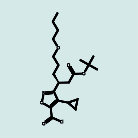 CCCCOCCC[C@@H](CC(=O)OC(C)(C)C)c1noc(C(=O)Cl)c1C1CC1